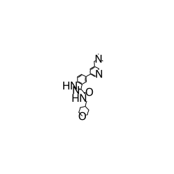 CN(C)Cc1cncc(-c2ccc3[nH]nc(C(=O)NCC4CCOCC4)c3c2)c1